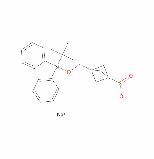 CC(C)(C)[Si](OCC12CC(S(=O)[O-])(C1)C2)(c1ccccc1)c1ccccc1.[Na+]